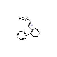 O=C(O)/C=C/c1cnccc1-c1ccccc1